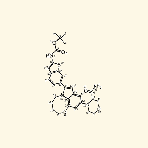 CC(C)(C)OC(=O)Nc1nc2ccc(-c3nc4cc(N5CCOC[C@H]5C(N)=O)cc5c4n3CCCCO5)cc2s1